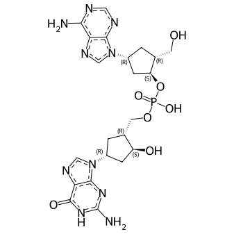 Nc1nc2c(ncn2[C@@H]2C[C@H](COP(=O)(O)O[C@H]3C[C@H](n4cnc5c(N)ncnc54)C[C@@H]3CO)[C@@H](O)C2)c(=O)[nH]1